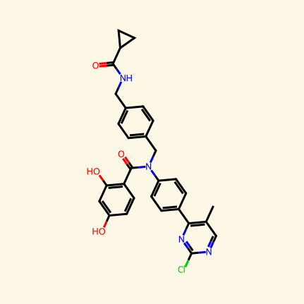 Cc1cnc(Cl)nc1-c1ccc(N(Cc2ccc(CNC(=O)C3CC3)cc2)C(=O)c2ccc(O)cc2O)cc1